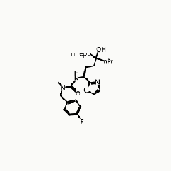 CCCCCCCC(O)(CCC)CCC(NC(=O)N(C)Cc1ccc(F)cc1)c1ncco1